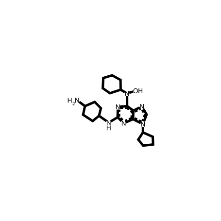 NC1CCC(Nc2nc(N(O)C3CCCCC3)c3ncn(C4CCCC4)c3n2)CC1